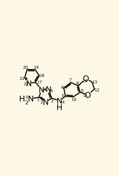 Nc1nc(Nc2ccc3c(c2)OCCO3)nn1-c1ccccn1